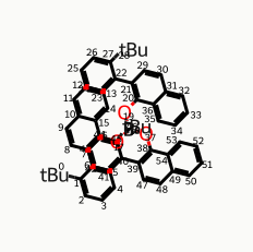 CC(C)(C)c1ccccc1-c1ccc2ccccc2c1OB(Oc1c(-c2ccccc2C(C)(C)C)ccc2ccccc12)Oc1c(-c2ccccc2C(C)(C)C)ccc2ccccc12